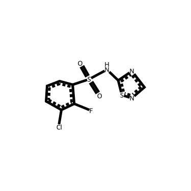 O=S(=O)(Nc1ncns1)c1cccc(Cl)c1F